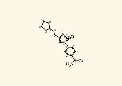 NC(=O)c1ccc(-n2cc(CCC3CCCC3)[nH]c2=O)cc1